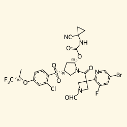 C[C@H](Oc1ccc(S(=O)(=O)[C@@H]2C[C@H](OC(=O)NC3(C#N)CC3)N(C(=O)C3(c4ncc(Br)cc4F)CN(C=O)C3)C2)c(Cl)c1)C(F)(F)F